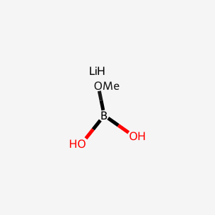 COB(O)O.[LiH]